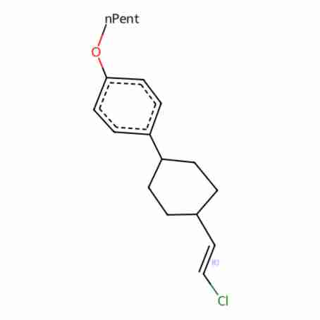 CCCCCOc1ccc(C2CCC(/C=C/Cl)CC2)cc1